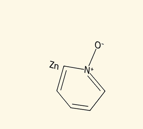 [O-][n+]1ccccc1.[Zn]